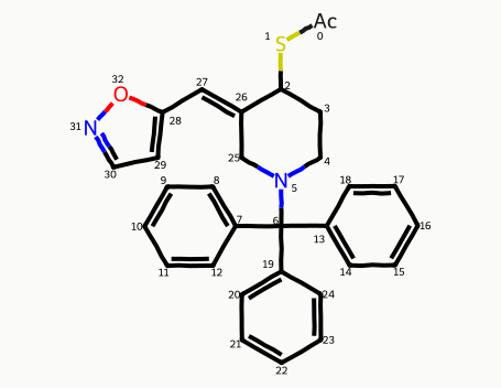 CC(=O)SC1CCN(C(c2ccccc2)(c2ccccc2)c2ccccc2)C/C1=C\c1ccno1